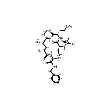 CSCC[C@H](NC(=O)[C@H](CC(C)C)NS(C)(=O)=O)C(=O)N[C@@H](CC(C)C)[C@@H](O)C[C@@H](C)C(=O)N[C@H](C(=O)NCc1ccccc1)C(C)C